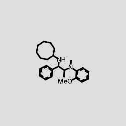 COc1ccccc1N(C)C(C)C(NC1CCCCCCC1)c1ccccc1